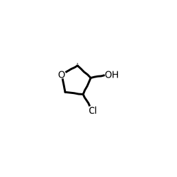 OC1[CH]OCC1Cl